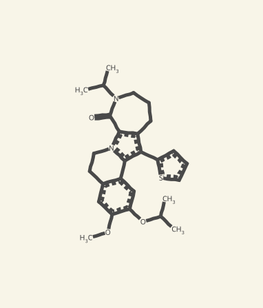 COc1cc2c(cc1OC(C)C)-c1c(-c3cccs3)c3c(n1CC2)C(=O)N(C(C)C)CCC3